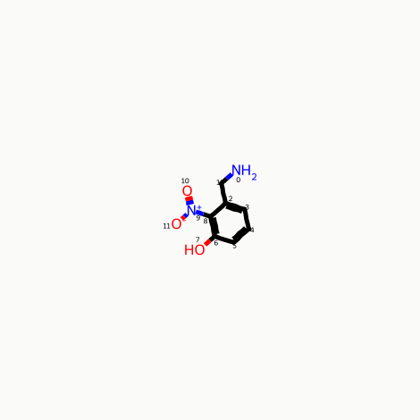 NCc1cccc(O)c1[N+](=O)[O-]